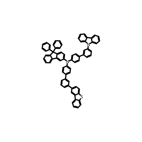 c1ccc(C2(c3ccccc3)c3ccccc3-c3cc(N(c4ccc(-c5cccc(-c6ccc7sc8ccccc8c7c6)c5)cc4)c4ccc(-c5cccc(-n6c7ccccc7c7ccccc76)c5)cc4)ccc32)cc1